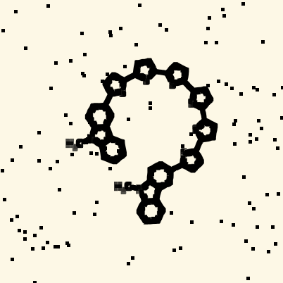 Cn1c2ccccc2c2cc(-c3ccc(-c4ccc(-c5ccc(-c6ccc(-c7ccc(-c8ccc(-c9ccc%10c(c9)c9ccccc9n%10C)s8)s7)s6)s5)s4)s3)ccc21